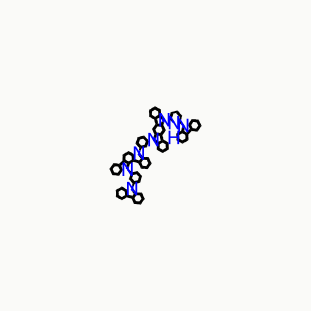 C1=CC(n2c3ccccc3c3ccccc32)NC(n2c3ccccc3c3cc4c(cc32)c2ccccc2n4-c2cccc(-n3c4ccccc4c4c3ccc3c5ccccc5n(-c5cccc(-n6c7ccccc7c7ccccc76)c5)c34)c2)=C1